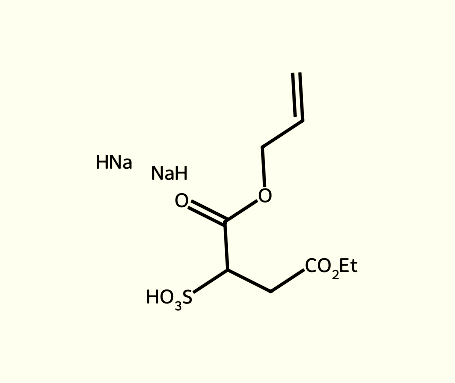 C=CCOC(=O)C(CC(=O)OCC)S(=O)(=O)O.[NaH].[NaH]